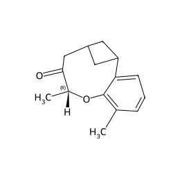 Cc1cccc2c1O[C@H](C)C(=O)CC1CC2C1